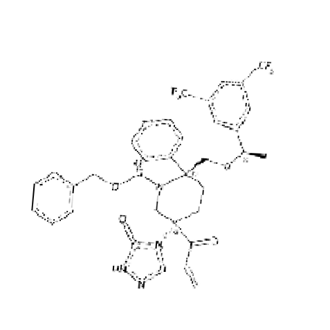 C=CC(=O)[C@]1(n2cn[nH]c2=O)CC[C@@](CO[C@H](C)c2cc(C(F)(F)F)cc(C(F)(F)F)c2)(c2ccccc2)N(C(=O)OCc2ccccc2)C1